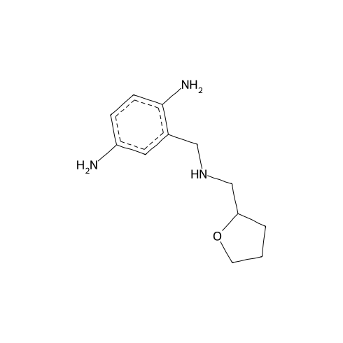 Nc1ccc(N)c(CNCC2CCCO2)c1